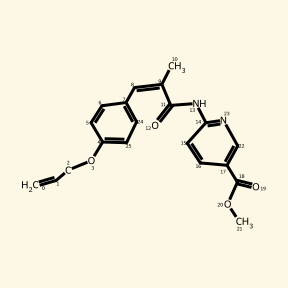 C=CCOc1ccc(C=C(C)C(=O)Nc2ccc(C(=O)OC)cn2)cc1